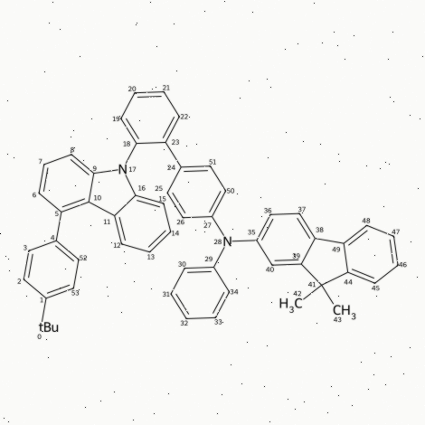 CC(C)(C)c1ccc(-c2cccc3c2c2ccccc2n3-c2ccccc2-c2ccc(N(c3ccccc3)c3ccc4c(c3)C(C)(C)c3ccccc3-4)cc2)cc1